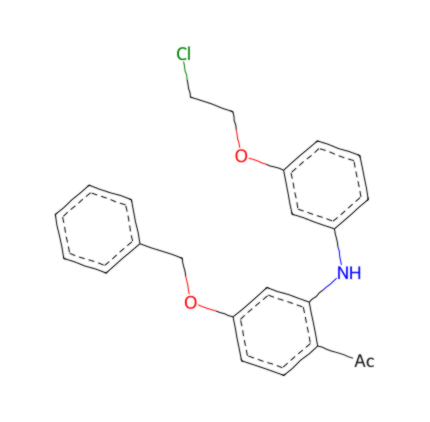 CC(=O)c1ccc(OCc2ccccc2)cc1Nc1cccc(OCCCl)c1